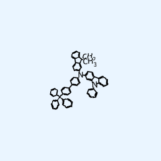 CC1(C)c2ccccc2-c2ccc(N(c3ccc(-c4ccc(C(c5ccccc5)(c5ccccc5)c5ccccc5)cc4)cc3)c3ccc4c5ccccc5n(-c5ccccc5)c4c3)cc21